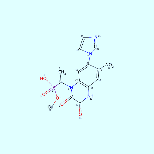 CCC(C)OP(=O)(O)C(C)n1c(=O)c(=O)[nH]c2cc([N+](=O)[O-])c(-n3ccnc3)cc21